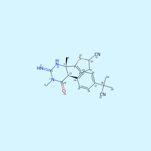 CN1C(=N)N[C@](C)(C2=CCC(C#N)S2)[C@@H](c2ccc(C(C)(C)C#N)cc2)C1=O